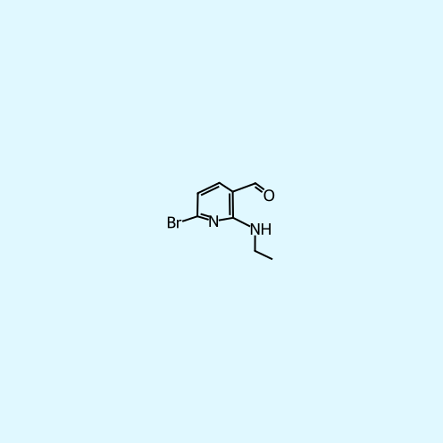 CCNc1nc(Br)ccc1C=O